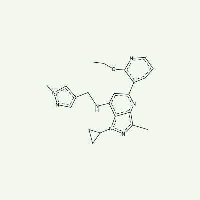 CCOc1ncccc1-c1cc(NCc2cnn(C)c2)c2c(n1)c(C)nn2C1CC1